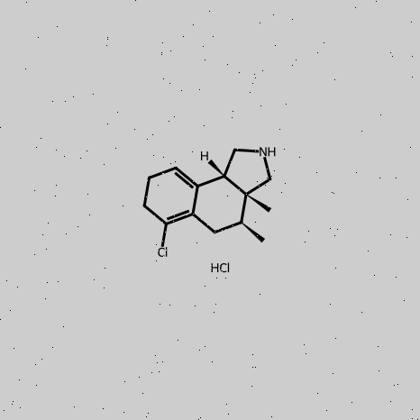 C[C@H]1CC2=C(Cl)CCC=C2[C@@H]2CNC[C@]12C.Cl